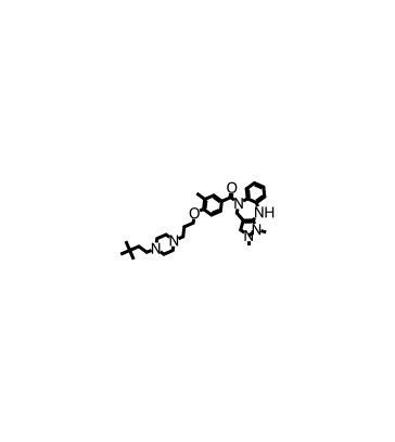 Cc1cc(C(=O)N2CC3=C(Nc4ccccc42)N(C)N(C)C3)ccc1OCCCN1CCN(CCC(C)(C)C)CC1